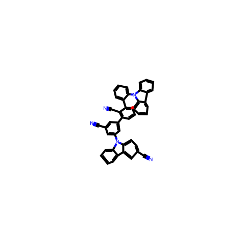 N#Cc1cc(-c2cccc(-c3ccccc3-n3c4ccccc4c4ccccc43)c2C#N)cc(-n2c3ccccc3c3cc(C#N)ccc32)c1